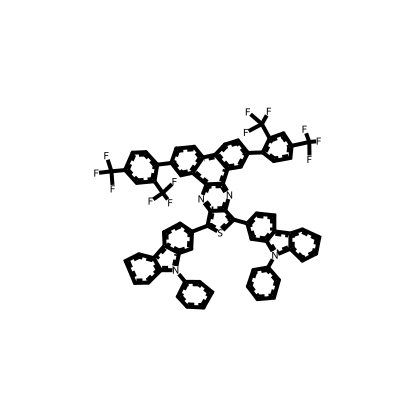 FC(F)(F)c1ccc(-c2ccc3c4ccc(-c5ccc(C(F)(F)F)cc5C(F)(F)F)cc4c4nc5c(-c6ccc7c8ccccc8n(-c8ccccc8)c7c6)sc(-c6ccc7c8ccccc8n(-c8ccccc8)c7c6)c5nc4c3c2)c(C(F)(F)F)c1